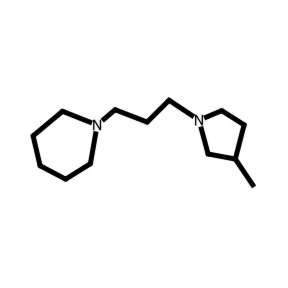 CC1CCN(CCCN2CCCCC2)C1